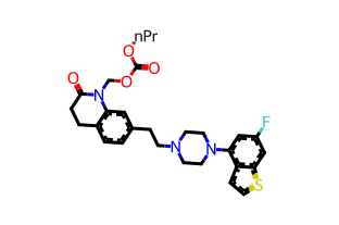 CCCOC(=O)OCN1C(=O)CCc2ccc(CCN3CCN(c4cc(F)cc5sccc45)CC3)cc21